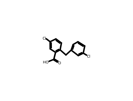 O=C(O)c1cc(Cl)ccc1Cc1cccc(Cl)c1